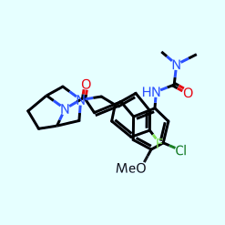 COc1cc(C=CC(=O)N2C3CCC2CN(Cc2ccc(F)cc2)C3)c(NC(=O)N(C)C)cc1Cl